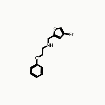 CCc1csc(CNCCOc2ccccc2)c1